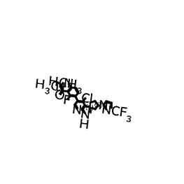 CN(C)C(=O)c1c(N)ccc(-c2cnc3c(c2Cl)[C@@]2(CC[C@H](n4ccc(C(F)(F)F)n4)C2)CN3)c1F